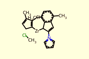 CC1=CC[C]([Zr][CH]2C(n3cccc3)=Cc3c(C)ccc(C)c32)=C1C.CCl